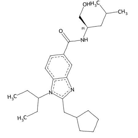 CCC(CC)n1c(CC2CCCC2)nc2cc(C(=O)N[C@@H](CO)CC(C)C)ccc21